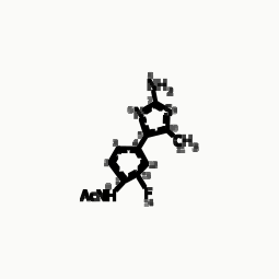 CC(=O)Nc1ccc(-c2nc(N)sc2C)cc1F